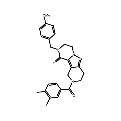 COc1ccc(CN2CCn3nc4c(c3C2=O)CN(C(=O)c2ccc(C)c(F)c2)CC4)cc1